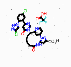 C[C@@H]1CCC[C@H](n2cnc(-c3cc(Cl)ccc3-n3cc(Cl)nn3)cc2=O)c2cc(ccn2)-n2nc(C(=O)O)cc2NC1=O.O=C(O)C(F)(F)F